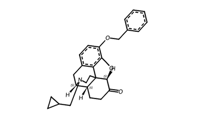 O=C1CC[C@@H]2[C@@H]3Cc4ccc(OCc5ccccc5)c5c4C2(CCN3CC2CC2)[C@@H]1O5